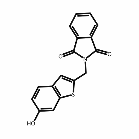 O=C1c2ccccc2C(=O)N1Cc1cc2ccc(O)cc2s1